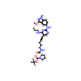 CCCNc1nc(Nc2ccc3c(c2)c(OC)nn3C)ncc1C#CCCCNC(=O)[C@@H]1CCCN1C(=O)OC(C)(C)C